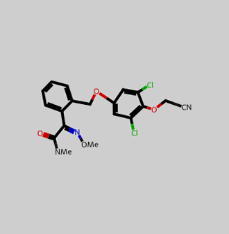 CNC(=O)C(=NOC)c1ccccc1COc1cc(Cl)c(OCC#N)c(Cl)c1